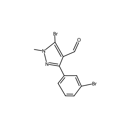 Cn1nc(-c2cccc(Br)c2)c(C=O)c1Br